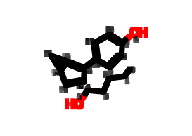 CCCCCO.Oc1ccc(-c2ccc3cc2-3)cc1